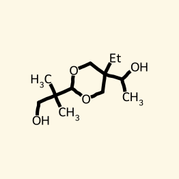 CCC1(C(C)O)COC(C(C)(C)CO)OC1